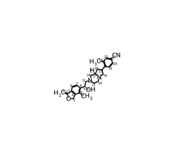 C=C1OCc2c1ccc([C@@H](O)CN1CCN3CC(c4ccc(C#N)cc4C)C[C@H]3C1)c2C